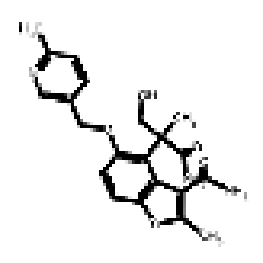 Cc1ccc(COc2ccc3oc(C)c(C(N)=O)c3c2C(C)(CO)C(N)=O)cn1